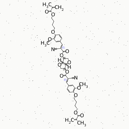 C=C(C)C(=O)OCCCCOc1ccc(/C=C(\C#N)C(=O)O[C@H]2CO[C@H]3[C@@H]2OC[C@H]3OC(=O)/C(C#N)=C/c2ccc(OCCCCOC(=O)C(=C)C)c(OC)c2)cc1OC